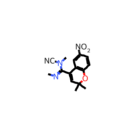 CN=C(C1=CC(C)(C)Oc2ccc([N+](=O)[O-])cc21)N(C)C#N